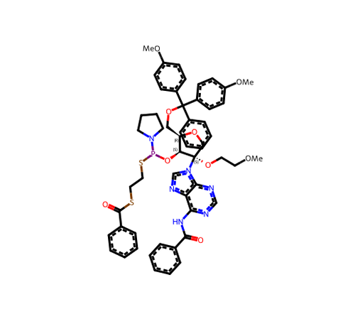 COCCO[C@@]1(n2cnc3c(NC(=O)c4ccccc4)ncnc32)CO[C@H](COC(c2ccccc2)(c2ccc(OC)cc2)c2ccc(OC)cc2)[C@@H]1OP(SCCSC(=O)c1ccccc1)N1CCCC1